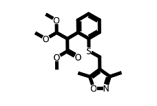 COC(=O)C(c1ccccc1SCc1c(C)noc1C)C(OC)OC